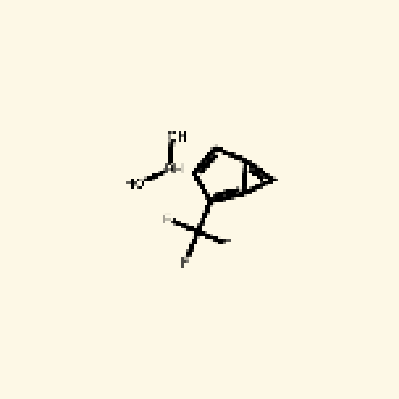 FC(F)(F)c1ccc2cc1-2.OBO